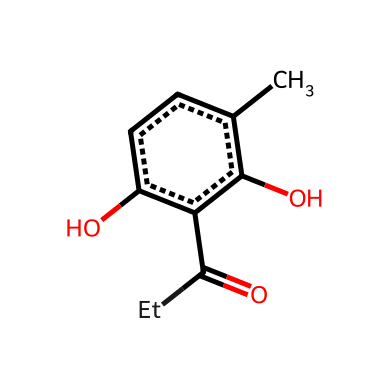 CCC(=O)c1c(O)ccc(C)c1O